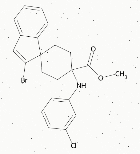 COC(=O)C1(Nc2cccc(Cl)c2)CCC2(CC1)C(Br)=Cc1ccccc12